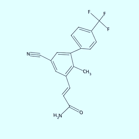 Cc1c(/C=C/C(N)=O)cc(C#N)cc1-c1ccc(C(F)(F)F)cc1